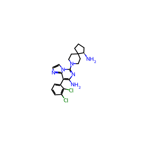 Nc1nc(N2CCC3(CCC[C@H]3N)CC2)n2ccnc2c1-c1cccc(Cl)c1Cl